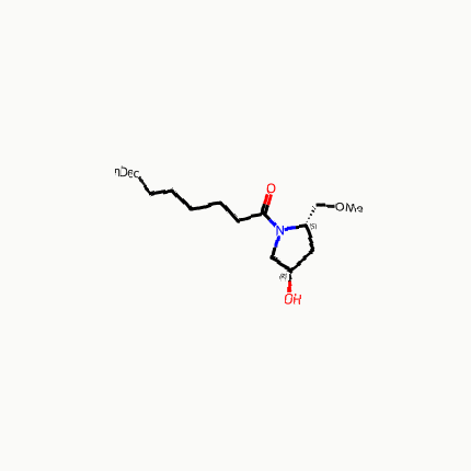 CCCCCCCCCCCCCCCC(=O)N1C[C@H](O)C[C@H]1COC